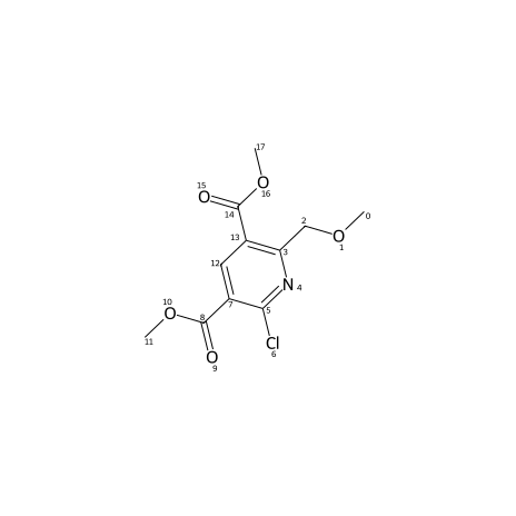 COCc1nc(Cl)c(C(=O)OC)cc1C(=O)OC